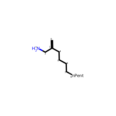 C=C(CN)CCCCCCCCC